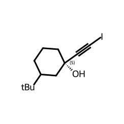 CC(C)(C)C1CCC[C@@](O)(C#CI)C1